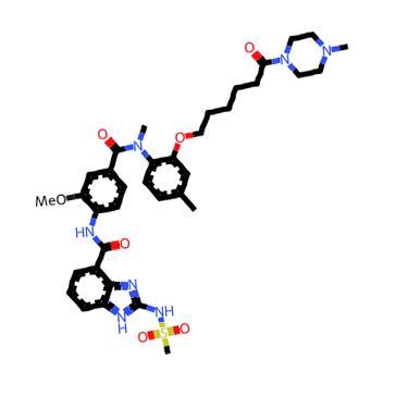 COc1cc(C(=O)N(C)c2ccc(C)cc2OCCCCCC(=O)N2CCN(C)CC2)ccc1NC(=O)c1cccc2[nH]c(NS(C)(=O)=O)nc12